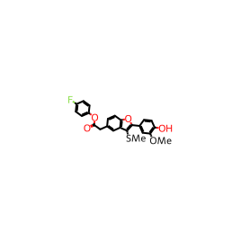 COc1cc(-c2oc3ccc(CC(=O)Oc4ccc(F)cc4)cc3c2SC)ccc1O